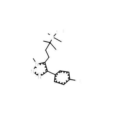 Cn1nnc(-c2ccc(O)cc2)c1CCC(C)(C)[Si](C)(C)O